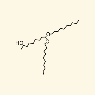 CCCCCCCCCCOC(CCCCCCC(C)O)OCCCCCCCCCC